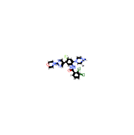 C[C@@H]1CN(c2cc(F)c(-c3cnc(N4CCOCC4)nc3)cc2NC(=O)c2cccc(Cl)c2Cl)CCN1C